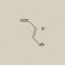 CCCC=CC(=O)[O-].[K+]